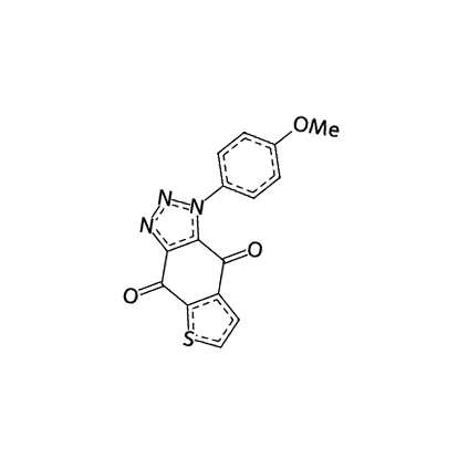 COc1ccc(-n2nnc3c2C(=O)c2ccsc2C3=O)cc1